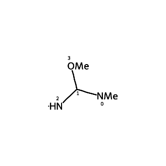 CNC([NH])OC